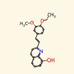 CCOc1ccc(/C=C/c2ccc3cccc(O)c3n2)cc1OC